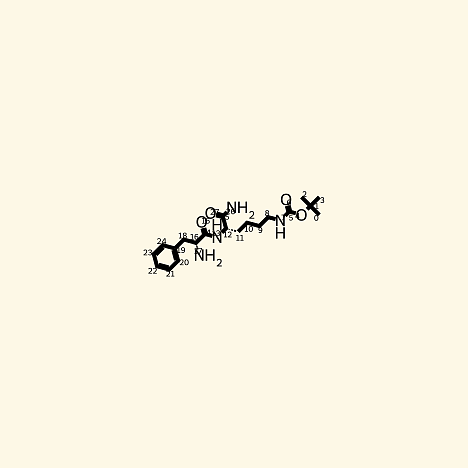 CC(C)(C)OC(=O)NCCCC[C@H](NC(=O)[C@H](N)Cc1ccccc1)C(N)=O